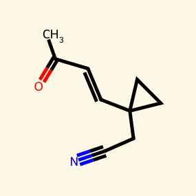 CC(=O)C=CC1(CC#N)CC1